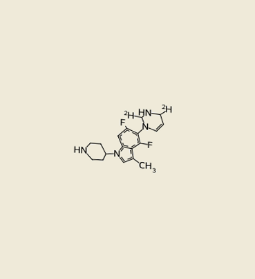 [2H]C1C=CN(c2c(F)cc3c(c(C)cn3C3CCNCC3)c2F)C([2H])N1